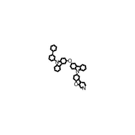 c1ccc(-c2cccc(-n3c4ccccc4c4cc(Oc5ccc6c(c5)c5ccccc5n6-c5ccc6oc7cnccc7c6c5)ccc43)c2)cc1